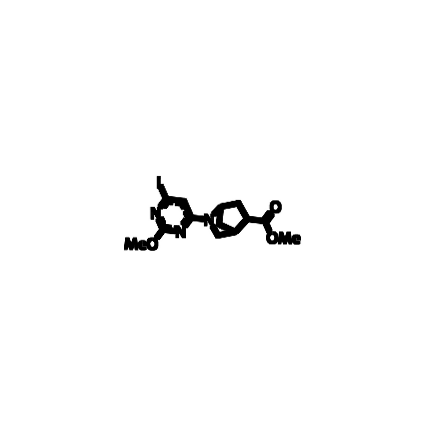 COC(=O)C1CC2CC1CN2c1cc(I)nc(OC)n1